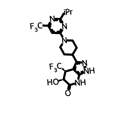 CC(C)c1nc(N2CCC(c3n[nH]c4c3[C@H](C(F)(F)F)[C@H](O)C(=O)N4)CC2)cc(C(F)(F)F)n1